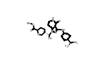 CC(C)(C)OC(=O)C1CC[C@H](C(C#N)n2nc(Nc3ccc([C@@H](N)C(F)(F)F)cc3)c3c(=O)[nH]ccc32)CO1